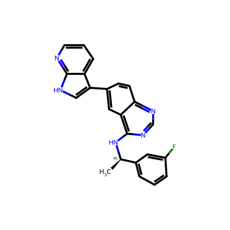 C[C@@H](Nc1ncnc2ccc(-c3c[nH]c4ncccc34)cc12)c1cccc(F)c1